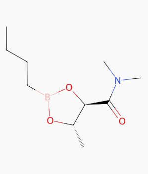 CCCCB1O[C@@H](C)[C@H](C(=O)N(C)C)O1